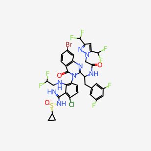 N=C(N[S+]([O-])C1CC1)c1c(Cl)ccc(-n2c(C(Cc3cc(F)cc(F)c3)NC(=O)Cn3nc(C(F)F)cc3C(F)F)nc3cc(Br)ccc3c2=O)c1NCC(F)F